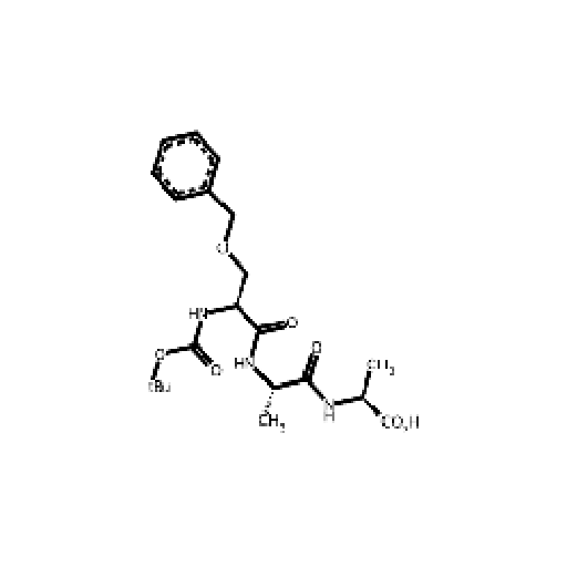 C[C@H](NC(=O)[C@H](C)NC(=O)[C@H](COCc1ccccc1)NC(=O)OC(C)(C)C)C(=O)O